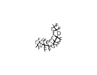 CC(F)(F)C(F)(F)OC(F)(F)C(F)(F)C(F)(F)OC(F)(F)C(F)(F)OC(F)(C(C)(F)F)C(F)(F)F